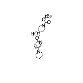 CC(C)(C)OC(=O)N1CCC(O)(COc2cnc(N3CCCCC3)cn2)CC1